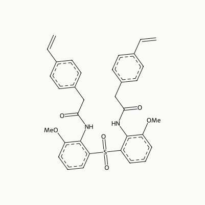 C=Cc1ccc(CC(=O)Nc2c(OC)cccc2S(=O)(=O)c2cccc(OC)c2NC(=O)Cc2ccc(C=C)cc2)cc1